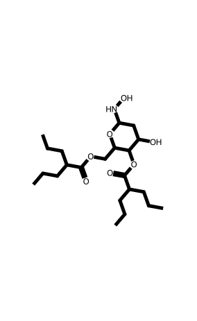 CCCC(CCC)C(=O)OCC1OC(NO)CC(O)C1OC(=O)C(CCC)CCC